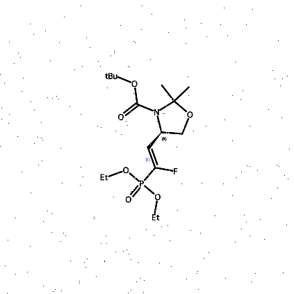 CCOP(=O)(OCC)/C(F)=C/[C@@H]1COC(C)(C)N1C(=O)OC(C)(C)C